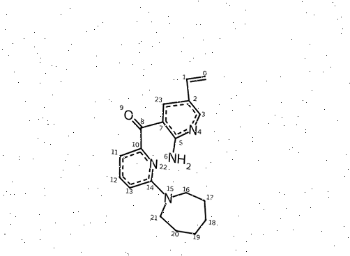 C=Cc1cnc(N)c(C(=O)c2cccc(N3CCCCCC3)n2)c1